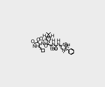 CN(C[C@@H](NC(=O)N[C@H](C(=O)N1C[C@H]2[C@@H]([C@H]1C(=O)NC(CC1CCC1)C(=O)C(N)=O)C2(C)C)C(C)(C)C)C(C)(C)C)[S+]([O-])c1ccccc1